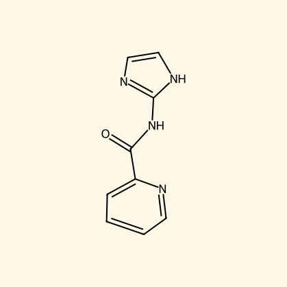 O=C(Nc1ncc[nH]1)c1ccccn1